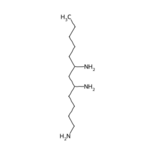 CCCCCC(N)CC(N)CCCCN